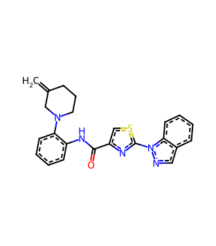 C=C1CCCN(c2ccccc2NC(=O)c2csc(-n3ncc4ccccc43)n2)C1